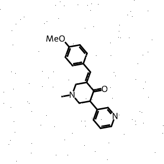 COc1ccc(C=C2CN(C)CC(c3cccnc3)C2=O)cc1